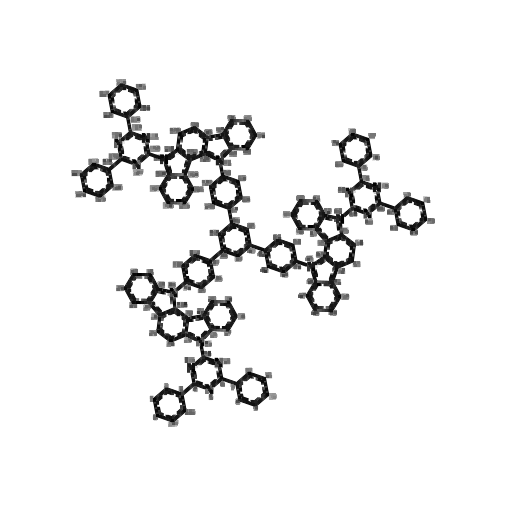 c1ccc(-c2nc(-c3ccccc3)nc(-n3c4ccccc4c4c3ccc3c5ccccc5n(-c5ccc(-c6cc(-c7ccc(-n8c9ccccc9c9ccc%10c(c%11ccccc%11n%10-c%10nc(-c%11ccccc%11)nc(-c%11ccccc%11)n%10)c98)cc7)cc(-c7ccc(-n8c9ccccc9c9ccc%10c(c%11ccccc%11n%10-c%10nc(-c%11ccccc%11)nc(-c%11ccccc%11)n%10)c98)cc7)c6)cc5)c34)n2)cc1